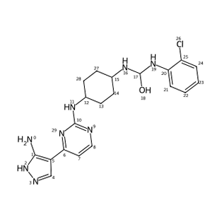 Nc1[nH]ncc1-c1ccnc(NC2CCC(NC(O)Nc3ccccc3Cl)CC2)n1